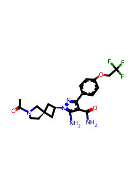 CC(=O)N1CC[C@]2(C1)C[C@H](n1nc(-c3ccc(OCC(F)(F)F)cc3)c(C(N)=O)c1N)C2